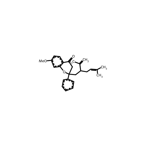 C=C(C)C(CC=C(C)C)CC1(c2ccccc2)CC(=O)c2ccc(OC)cc2O1